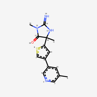 Cc1cncc(-c2csc(C3(C)NC(=N)N(C)C3=O)c2)c1